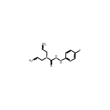 C=CCN(CC=C)C(=O)NNc1ccc(F)cn1